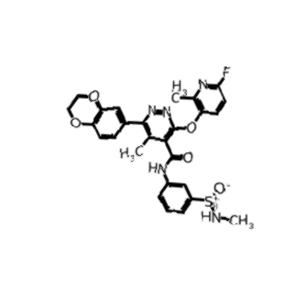 CN[S@+]([O-])c1cccc(NC(=O)c2c(Oc3ccc(F)nc3C)nnc(-c3ccc4c(c3)OCCO4)c2C)c1